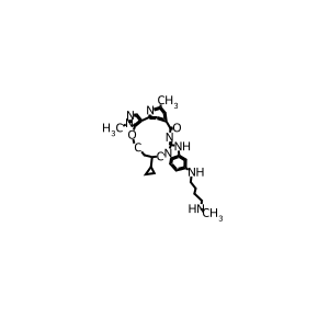 CNCCCCNc1ccc2c(c1)N/C1=N\C(=O)c3cc(C)nc(c3)-c3cnn(C)c3OCCCC(C3CC3)CN12